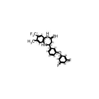 Cc1cc2c(cc1C(F)(F)F)NC(=P)CC(c1cccc(Oc3cc(F)cc(F)c3)c1)N2